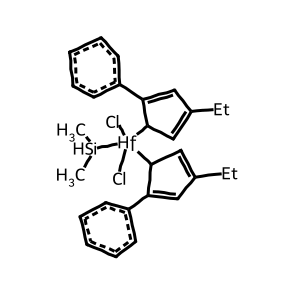 CCC1=C[CH]([Hf]([Cl])([Cl])([CH]2C=C(CC)C=C2c2ccccc2)[SiH](C)C)C(c2ccccc2)=C1